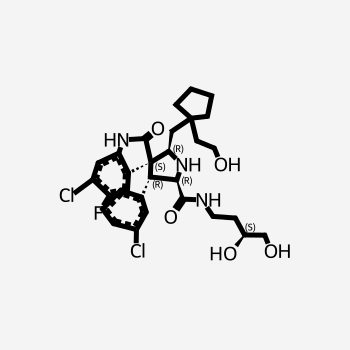 O=C(NCC[C@H](O)CO)[C@@H]1N[C@H](CC2(CCO)CCCC2)[C@]2(C(=O)Nc3cc(Cl)c(F)cc32)[C@H]1c1cccc(Cl)c1